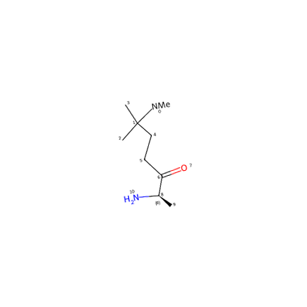 CNC(C)(C)CCC(=O)[C@@H](C)N